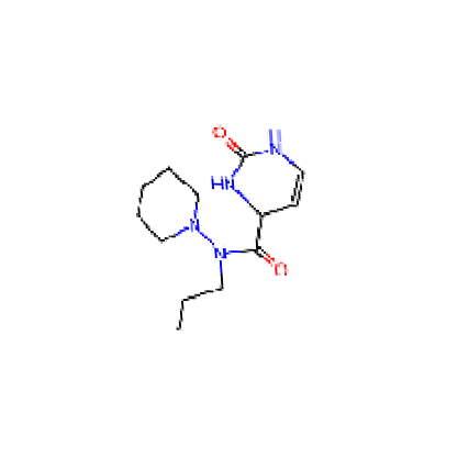 CCCN(C(=O)C1C=CNC(=O)N1)N1CCCCC1